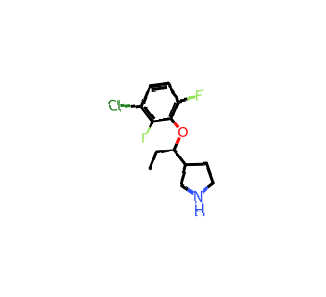 CC[C@@H](Oc1c(F)ccc(Cl)c1F)C1CCNC1